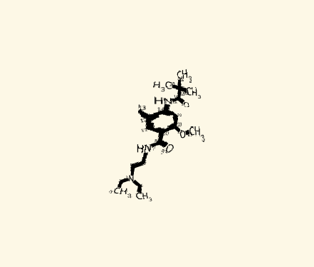 CCN(CC)CCNC(=O)c1cc(I)c(NC(=O)C(C)(C)C)cc1OC